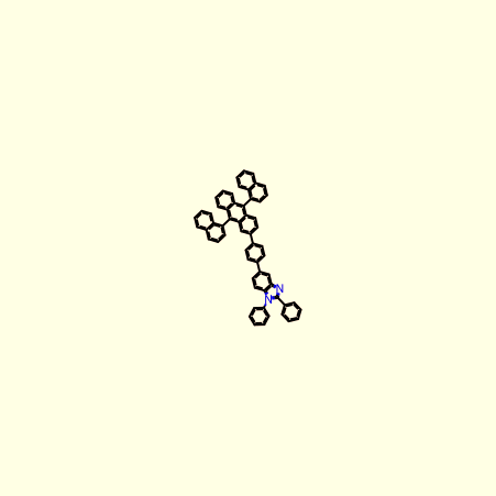 c1ccc(-c2nc3cc(-c4ccc(-c5ccc6c(-c7cccc8ccccc78)c7ccccc7c(-c7cccc8ccccc78)c6c5)cc4)ccc3n2-c2ccccc2)cc1